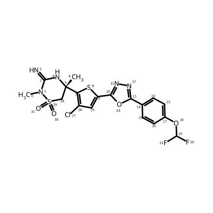 CN1C(=N)N[C@](C)(c2sc(-c3nnc(-c4ccc(OC(F)F)cc4)o3)cc2Cl)CS1(=O)=O